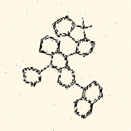 CC1(C)c2ccccc2-c2c(-c3c4ccccc4c(-c4cccnc4)c4ccc(-c5cccc6ccccc56)cc34)cccc21